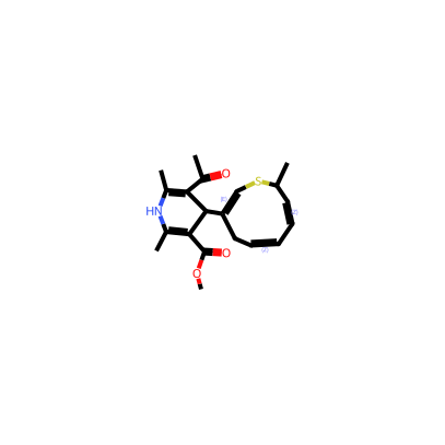 COC(=O)C1=C(C)NC(C)=C(C(C)=O)C1/C1=C/SC(C)/C=C\C=C/C1